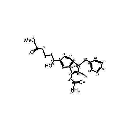 COC(=O)CCCC(O)c1ccc2c(c1)c(CC(N)=O)c(C)n2Cc1ccccc1